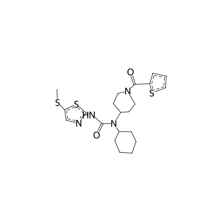 CSc1cnc(NC(=O)N(C2CCCCC2)C2CCN(C(=O)c3cccs3)CC2)s1